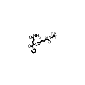 NC(=O)CCC(NCCCCCC(=O)NCC(F)(F)F)C(=O)N1CCCC1